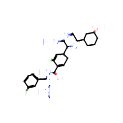 CNC[C@@H](NC(=O)C1=CCC(C2N=C(C3CCCC(O)C3)C=NC2N)C=C1F)c1cccc(Cl)c1